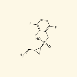 C=C[C@@H]1C[C@@H]1P(=O)(O)Cc1c(F)ccc(F)c1F